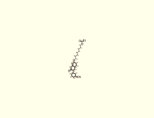 CCC(=O)OCCCCCCCCOc1ccc2cc(-c3cccc(C#N)c3)c(=O)oc2n1